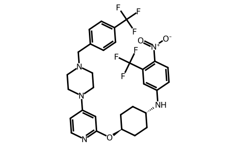 O=[N+]([O-])c1ccc(N[C@H]2CC[C@H](Oc3cc(N4CCN(Cc5ccc(C(F)(F)F)cc5)CC4)ccn3)CC2)cc1C(F)(F)F